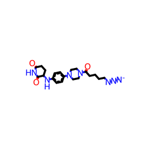 [N-]=[N+]=NCCCCC(=O)N1CCN(c2ccc(NC3CCC(=O)NC3=O)cc2)CC1